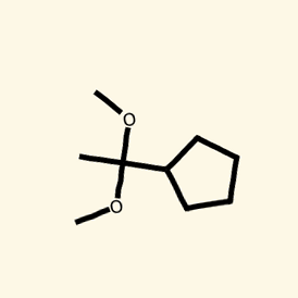 COC(C)(OC)C1CCCC1